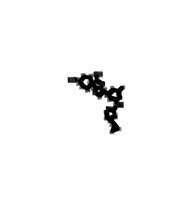 Cc1cc(Nc2nccc(C3CC3)n2)cc(-c2cnc([C@]3(C(=O)O)CC[C@H](O)CC3)s2)c1